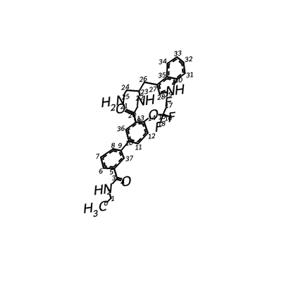 CCNC(=O)c1cccc(-c2ccc(OC(F)(F)F)c(C(=O)NC(CN)Cc3c[nH]c4ccccc34)c2)c1